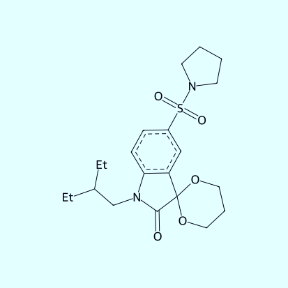 CCC(CC)CN1C(=O)C2(OCCCO2)c2cc(S(=O)(=O)N3CCCC3)ccc21